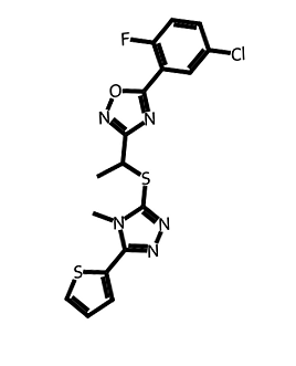 CC(Sc1nnc(-c2cccs2)n1C)c1noc(-c2cc(Cl)ccc2F)n1